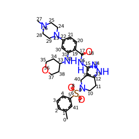 Cc1cccc(S(=O)(=O)N2CCc3[nH]nc(NC(=O)c4ccc(N5CCN(C)CC5)cc4NC4CCOCC4)c3C2)c1